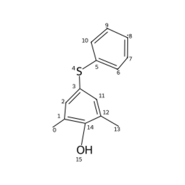 Cc1cc(Sc2cc[c]cc2)cc(C)c1O